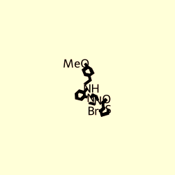 COc1ccc(CCNc2ccccc2N2CCN(C(=O)c3sccc3Br)CC2)cc1